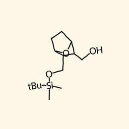 CC(C)(C)[Si](C)(C)OCC1C2CCC(O2)C1CO